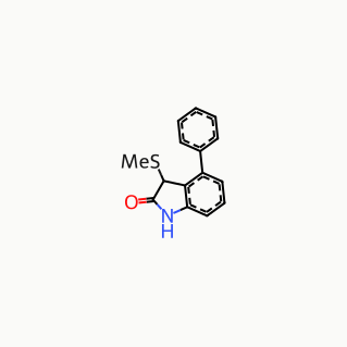 CSC1C(=O)Nc2cccc(-c3ccccc3)c21